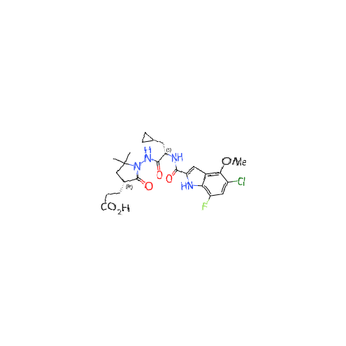 COc1c(Cl)cc(F)c2[nH]c(C(=O)N[C@@H](CC3CC3)C(=O)NN3C(=O)[C@H](CCC(=O)O)CC3(C)C)cc12